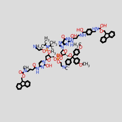 [C-]#[N+]CCO[PH](O)(OC[C@H]1O[C@@H](N2C=CC(NC(=O)CCCN(C)C(=O)OCC3c4ccccc4-c4ccccc43)=NC2O)CC1OP(OCCC#N)N(C(C)C)C(C)C)OC1C[C@H](n2cnc3c(=O)[nH]c(NC(O)CCNC(O)c4ccc(CNC(O)OCC5c6ccccc6-c6ccccc65)cc4)nc32)O[C@@H]1COC(c1ccccc1)(c1ccc(OC)cc1)c1ccc(OC)cc1